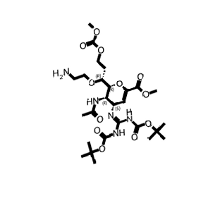 COC(=O)OCC[C@@H](OCCN)[C@@H]1OC(C(=O)OC)=C[C@H](N=C(NC(=O)OC(C)(C)C)NC(=O)OC(C)(C)C)[C@H]1NC(C)=O